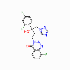 O=c1c2cccc(F)c2nnn1CCC(O)(Cn1cncn1)c1ccc(F)cc1F